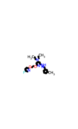 CCCN(CCC)c1cc(N/N=C/c2cccc(C)c2)nc(OCCOc2ccc(F)cn2)c1